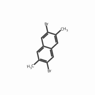 Cc1cc2cc(Br)c(C)cc2cc1Br